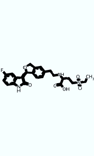 CCS(=O)(=O)CCC(NCCc1ccc2c(c1)COC2=C1C(=O)Nc2ccc(F)cc21)C(=O)O